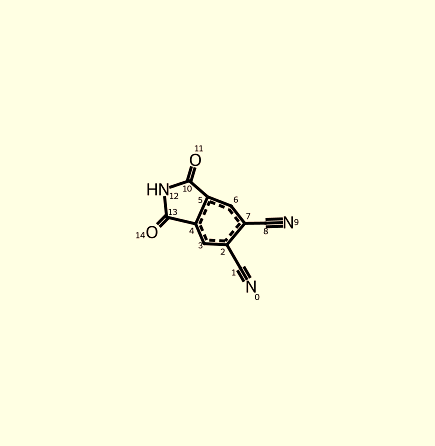 N#Cc1cc2c(cc1C#N)C(=O)NC2=O